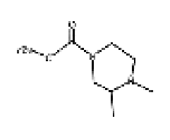 CCCCOC(=O)N1CCN(C)C(C)C1